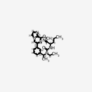 CCCC(C#N)NC(=O)N(CC)C(C)c1cccc(-c2cn3ccnc3c(OC)n2)c1